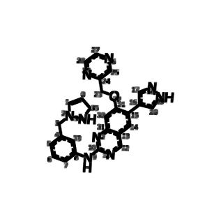 C1=CN(Cc2cccc(Nc3ncc4cc(-c5cn[nH]c5)c(OCc5cnccn5)cc4n3)c2)NC1